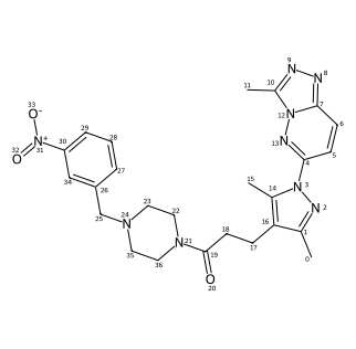 Cc1nn(-c2ccc3nnc(C)n3n2)c(C)c1CCC(=O)N1CCN(Cc2cccc([N+](=O)[O-])c2)CC1